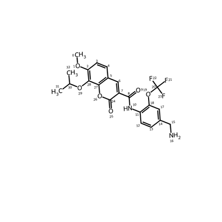 COc1ccc2cc(C(=O)Nc3ccc(CN)cc3OC(F)(F)F)c(=O)oc2c1OC(C)C